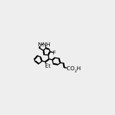 CCC(=C(c1ccc(C=CC(=O)O)cc1)c1cc2cn[nH]c2cc1F)c1ccccc1